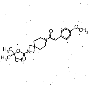 COc1ccc(CC(=O)N2CCC3(CC2)CN(C(=O)OC(C)(C)C)C3)cc1